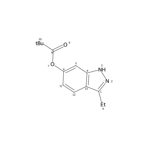 CCc1n[nH]c2cc(OC(=O)C(C)(C)C)ccc12